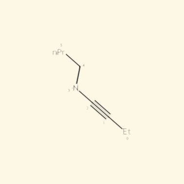 CCC#C[N]CCCC